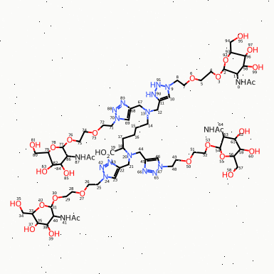 CC(=O)NC1C(OCCOCCN2C=C(CN(CCCCC(C(=O)O)N(Cc3cn(CCOCCOC4OC(CO)C(O)C(O)C4NC(C)=O)nn3)Cc3cn(CCOCCOC4OC(CO)C(O)C(O)C4NC(C)=O)nn3)Cc3cn(CCOCCOC4OC(CO)C(O)C(O)C4NC(C)=O)nn3)NN2)OC(CO)C(O)C1O